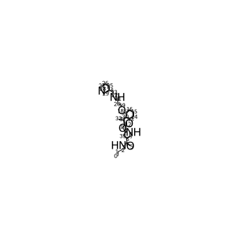 CCCNC(=O)c1c[nH]c(Oc2oc3cccc(OCCCNCc4cccnc4)c3c2C)c1